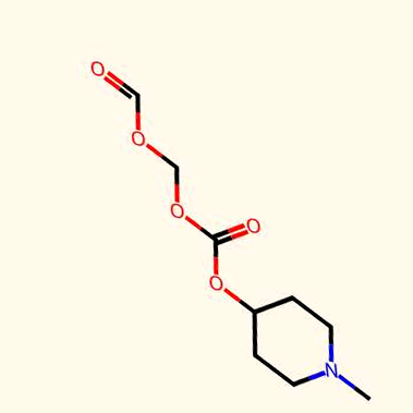 CN1CCC(OC(=O)OCOC=O)CC1